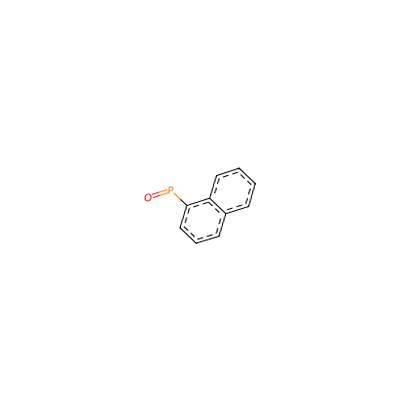 O=Pc1cccc2ccccc12